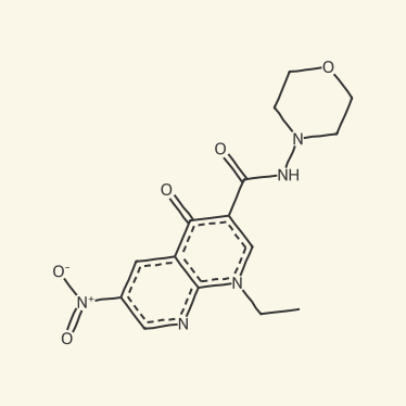 CCn1cc(C(=O)NN2CCOCC2)c(=O)c2cc([N+](=O)[O-])cnc21